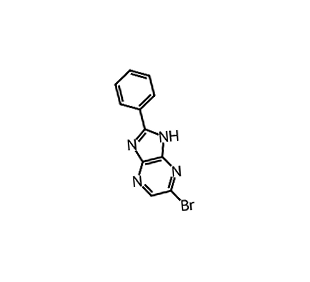 Brc1cnc2nc(-c3ccccc3)[nH]c2n1